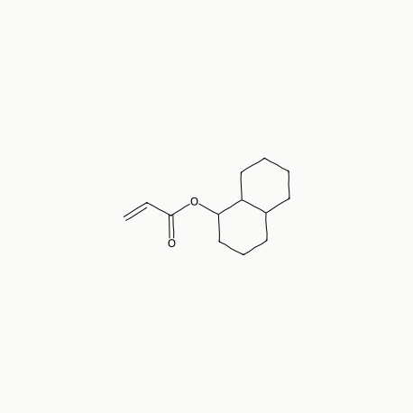 C=CC(=O)OC1CCCC2CCCCC21